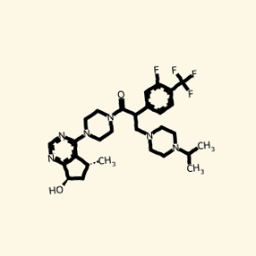 CC(C)N1CCN(CC(C(=O)N2CCN(c3ncnc4c3[C@H](C)C[C@H]4O)CC2)c2ccc(C(F)(F)F)c(F)c2)CC1